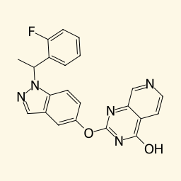 CC(c1ccccc1F)n1ncc2cc(Oc3nc(O)c4ccncc4n3)ccc21